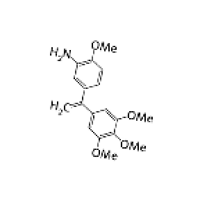 C=C(c1ccc(OC)c(N)c1)c1cc(OC)c(OC)c(OC)c1